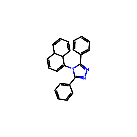 C1=CC2C=CC=C(n3c(-c4ccccc4)nnc3-c3ccccc3)C2C=C1